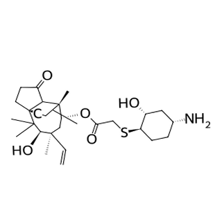 C=C[C@]1(C)C[C@@H](OC(=O)CS[C@@H]2CC[C@@H](N)C[C@H]2O)[C@]2(C)C(C)CC[C@]3(CCC(=O)C23)C(C)(C)[C@@H]1O